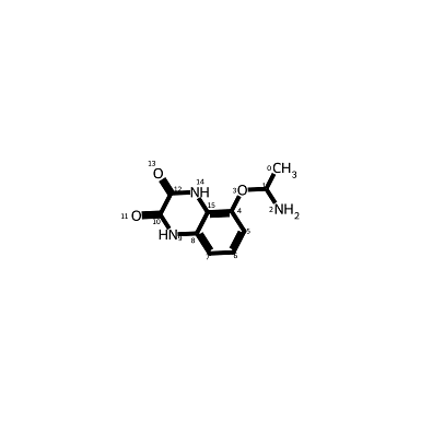 CC(N)Oc1cccc2[nH]c(=O)c(=O)[nH]c12